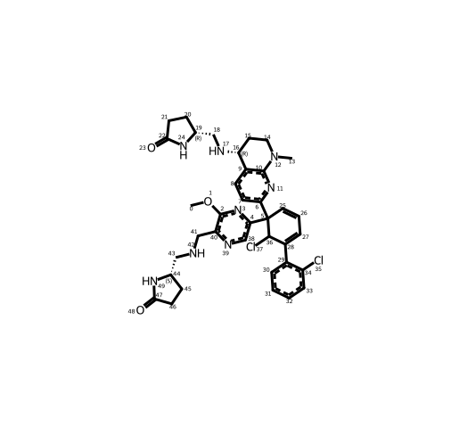 COc1nc(C2(c3ccc4c(n3)N(C)CC[C@H]4NC[C@H]3CCC(=O)N3)C=CC=C(c3ccccc3Cl)C2Cl)cnc1CNC[C@@H]1CCC(=O)N1